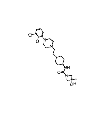 CC1(O)CN(C(=O)NC2CCC(CCN3CCN(c4cccc(Cl)c4Cl)CC3)CC2)C1